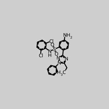 CCc1nc(-c2ccc(N)cc2S(=O)(=O)Nc2c(Cl)cccc2Cl)nn1-c1ccccc1